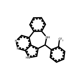 FC(F)(F)c1ccccc1C1Nc2ccccc2-c2cnnc3[nH]cc1c23